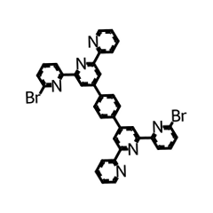 Brc1cccc(-c2cc(-c3ccc(-c4cc(-c5ccccn5)nc(-c5cccc(Br)n5)c4)cc3)cc(-c3ccccn3)n2)n1